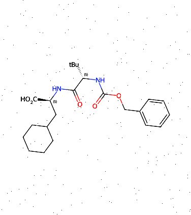 CC(C)(C)[C@H](NC(=O)OCc1ccccc1)C(=O)N[C@@H](CC1CCCCC1)C(=O)O